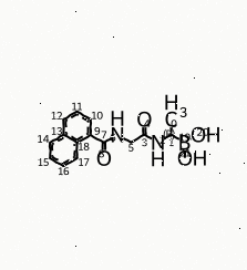 C[C@H](NC(=O)CNC(=O)c1cccc2ccccc12)B(O)O